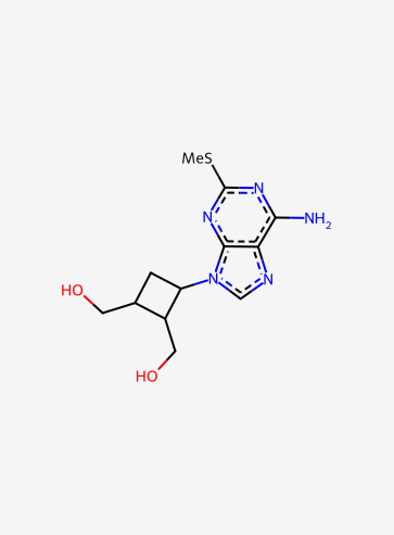 CSc1nc(N)c2ncn(C3CC(CO)C3CO)c2n1